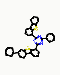 c1ccc(-c2ccc3c(c2)sc2c(-c4nc(-c5ccccc5)nc(-c5cccc6c5sc5ccccc56)n4)cccc23)cc1